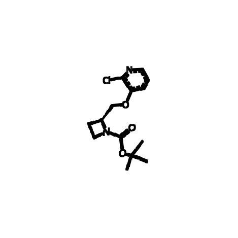 CC(C)(C)OC(=O)N1CC[C@H]1COc1cccnc1Cl